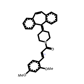 COc1ccc(/C=C/C(=O)N2CCC(=C3c4ccccc4C=Cc4ccccc43)CC2)c(OC)c1